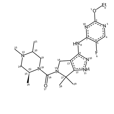 CCOc1ncc(F)c(Nc2n[nH]c3c2CN(C(=O)N2CC(C)N(C)C[C@@H]2C)C3(C)C)n1